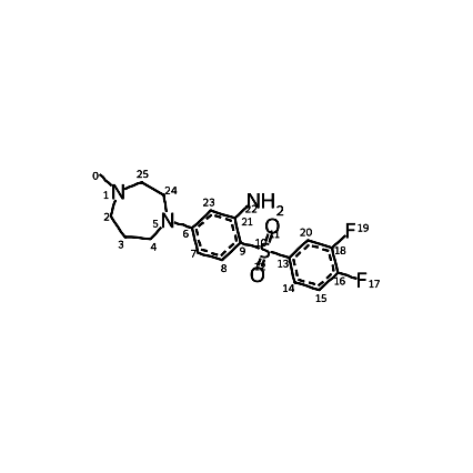 CN1CCCN(c2ccc(S(=O)(=O)c3ccc(F)c(F)c3)c(N)c2)CC1